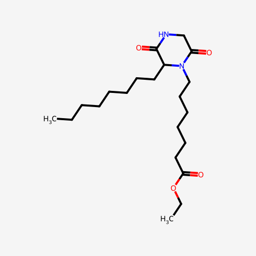 CCCCCCCCC1C(=O)NCC(=O)N1CCCCCCC(=O)OCC